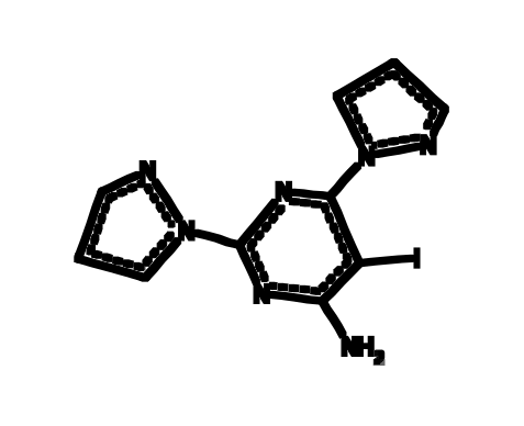 Nc1nc(-n2cccn2)nc(-n2cccn2)c1I